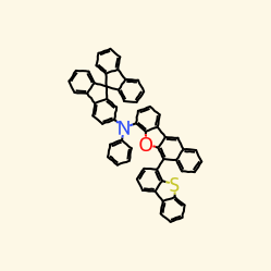 c1ccc(N(c2ccc3c(c2)C2(c4ccccc4-c4ccccc42)c2ccccc2-3)c2cccc3c2oc2c(-c4cccc5c4sc4ccccc45)c4ccccc4cc23)cc1